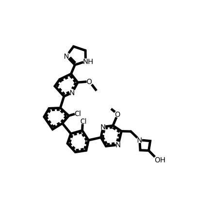 COc1nc(-c2cccc(-c3cccc(-c4cnc(CN5CC(O)C5)c(OC)n4)c3Cl)c2Cl)ccc1C1=NCCN1